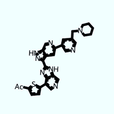 CC(=O)c1ccc(-c2cncc3[nH]c(-c4n[nH]c5cnc(-c6cncc(CN7CCCCC7)c6)cc45)nc23)s1